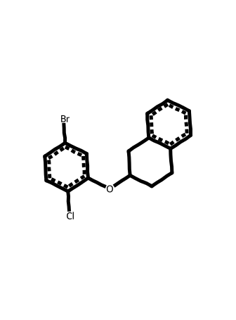 Clc1ccc(Br)cc1OC1CCc2ccccc2C1